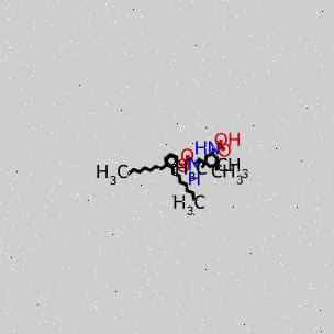 CCCCCCCCc1cccc(OC(=O)NCC2(C)CC(NC(=O)O)CC(C)(C)C2)c1CCCCCCCC